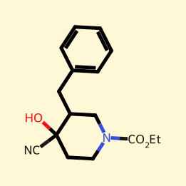 CCOC(=O)N1CCC(O)(C#N)C(Cc2ccccc2)C1